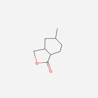 CC1CCC2C(=O)OCC2C1